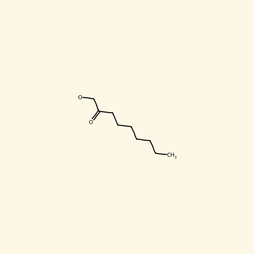 CCCCCCCC(=O)C[O]